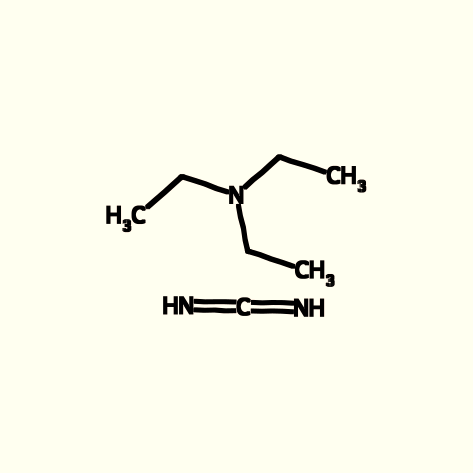 CCN(CC)CC.N=C=N